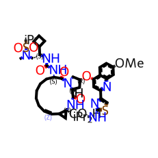 COc1ccc2c(O[C@@H]3C[C@H]4C(=O)N[C@]5(C(=O)O)CC5/C=C\CCCCC[C@H](NC(=O)N[C@H](CN(C)S(=O)(=O)C(C)C)C5CCC5)C(=O)N4C3)cc(-c3csc(NC(C)C)n3)nc2c1